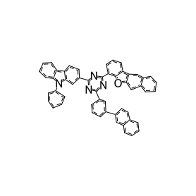 c1ccc(-n2c3ccccc3c3ccc(-c4nc(-c5cccc(-c6ccc7ccccc7c6)c5)nc(-c5cccc6c5oc5cc7ccccc7cc56)n4)cc32)cc1